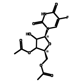 CC(=O)OC[C@@H]1O[C@H](n2cc(F)c(=O)[nH]c2=O)C(O)C1OC(C)=O